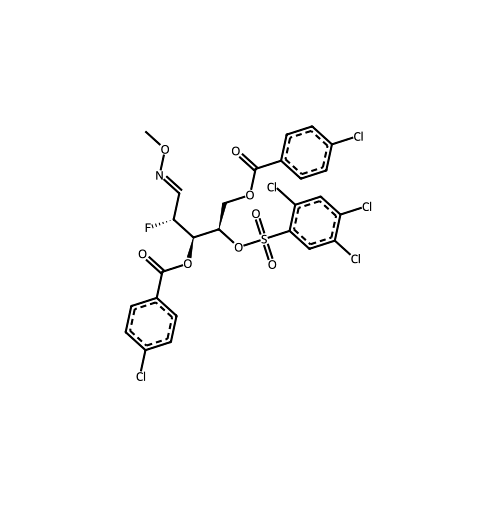 CON=C[C@@H](F)[C@H](OC(=O)c1ccc(Cl)cc1)[C@@H](COC(=O)c1ccc(Cl)cc1)OS(=O)(=O)c1cc(Cl)c(Cl)cc1Cl